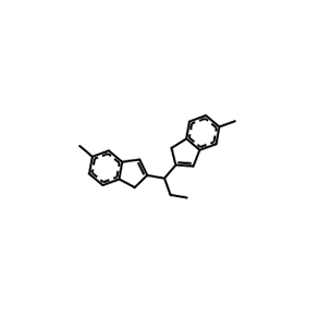 CCC(C1=Cc2cc(C)ccc2C1)C1=Cc2cc(C)ccc2C1